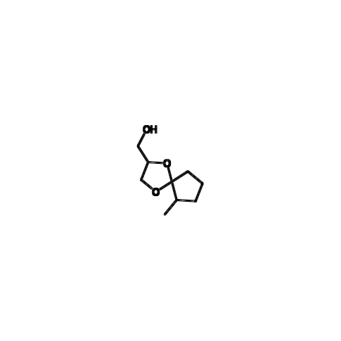 CC1CCCC12OCC(CO)O2